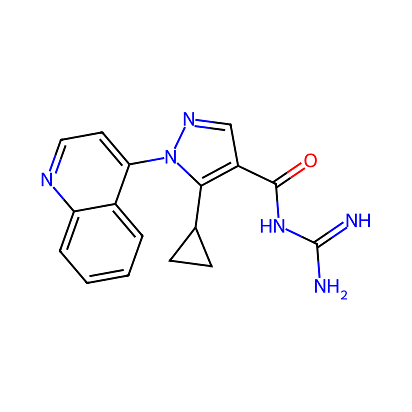 N=C(N)NC(=O)c1cnn(-c2ccnc3ccccc23)c1C1CC1